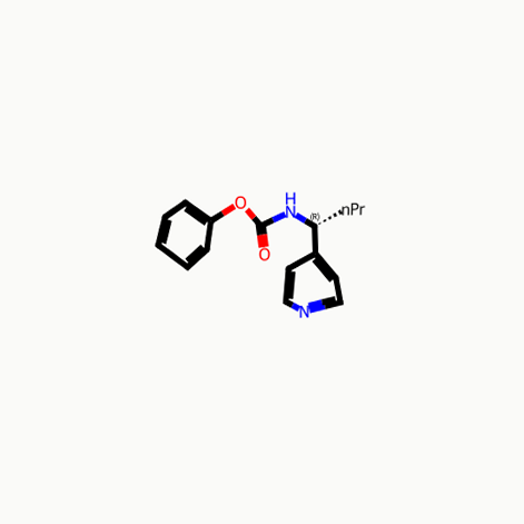 CCC[C@@H](NC(=O)Oc1ccccc1)c1ccncc1